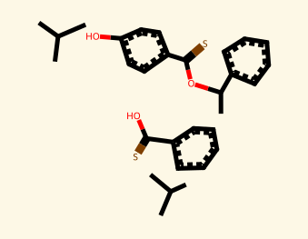 CC(C)C.CC(C)C.CC(OC(=S)c1ccc(O)cc1)c1ccccc1.OC(=S)c1ccccc1